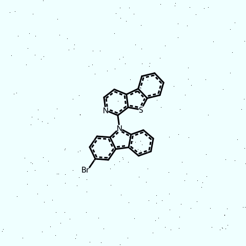 Brc1ccc2c(c1)c1ccccc1n2-c1nccc2c1sc1ccccc12